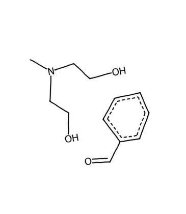 CN(CCO)CCO.O=Cc1ccccc1